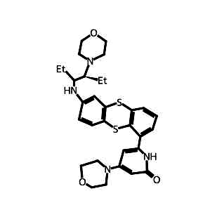 CCC(Nc1ccc2c(c1)Sc1cccc(-c3cc(N4CCOCC4)cc(=O)[nH]3)c1S2)[C@H](CC)N1CCOCC1